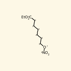 CCOC(=O)CCCCCCO[N+](=O)[O-]